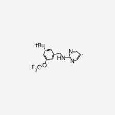 CC(C)(C)c1cc(CNc2nc[c]cn2)cc(OC(F)(F)F)c1